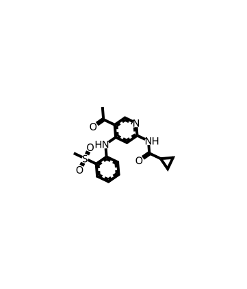 CC(=O)c1cnc(NC(=O)C2CC2)cc1Nc1ccccc1S(C)(=O)=O